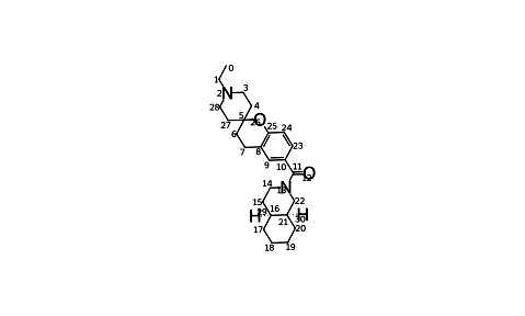 CCN1CCC2(CCc3cc(C(=O)N4CC[C@@H]5CCCC[C@@H]5C4)ccc3O2)CC1